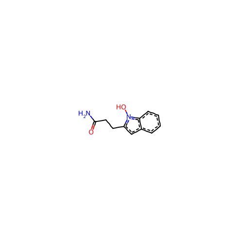 NC(=O)CCc1cc2ccccc2n1O